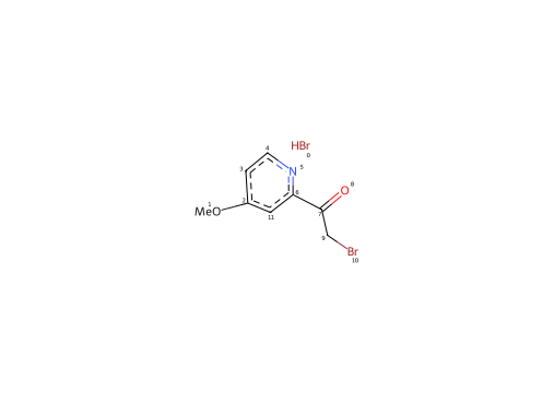 Br.COc1ccnc(C(=O)CBr)c1